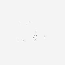 CC1(C)CC(N(C(=O)CCCC(=O)O)C(=O)CCCC(=O)O)CC(C)(C)N1